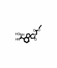 CCOC(=O)CN1CC2(CCc3c(C(=N)NO)cccc32)CC1=O